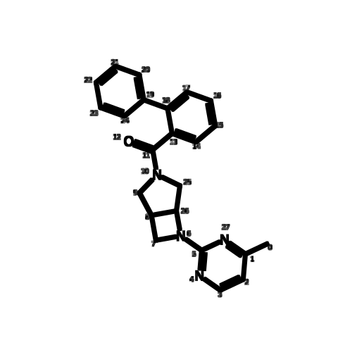 Cc1ccnc(N2CC3CN(C(=O)c4ccccc4-c4ccccc4)CC32)n1